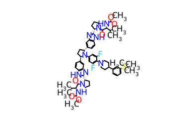 COC(=O)N[C@H](C(=O)N1CCC[C@H]1c1nc2cc([C@H]3CC[C@H](c4ccc5[nH]c([C@@H]6CCCN6C(=O)[C@@H](NC(=O)OC)C(C)C)nc5c4)N3c3cc(F)c(N4CCC(c5cccc(S(C)(C)C)c5)CC4)c(F)c3)ccc2[nH]1)C(C)C